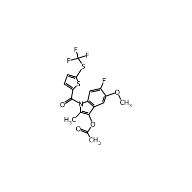 COc1cc2c(OC(C)=O)c(C)n(C(=O)c3ccc(SC(F)(F)F)s3)c2cc1F